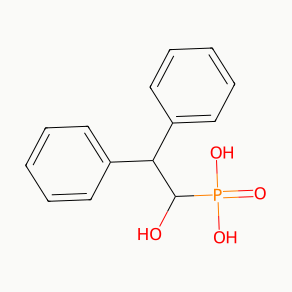 O=P(O)(O)C(O)C(c1ccccc1)c1ccccc1